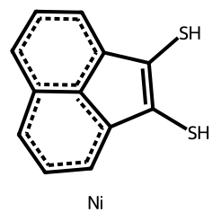 SC1=C(S)c2cccc3cccc1c23.[Ni]